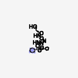 O=C(C#CCCO)Nc1ccc2ncnc(Nc3ccc(CC4=C/C=C\C=C/C=C\4)c(C(=O)OCc4ccccc4)c3)c2c1